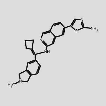 CN1Cc2ccc(C(Nc3cc4cc(-c5cnc(N)s5)ccc4cn3)=C3CCC3)cc2C1